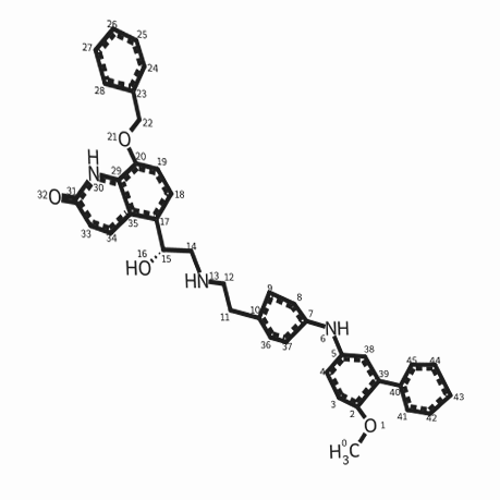 COc1ccc(Nc2ccc(CCNC[C@H](O)c3ccc(OCc4ccccc4)c4[nH]c(=O)ccc34)cc2)cc1-c1ccccc1